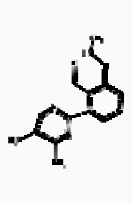 CN/N=c1/cccc(-c2ncc(P)c(N)n2)n1C=O